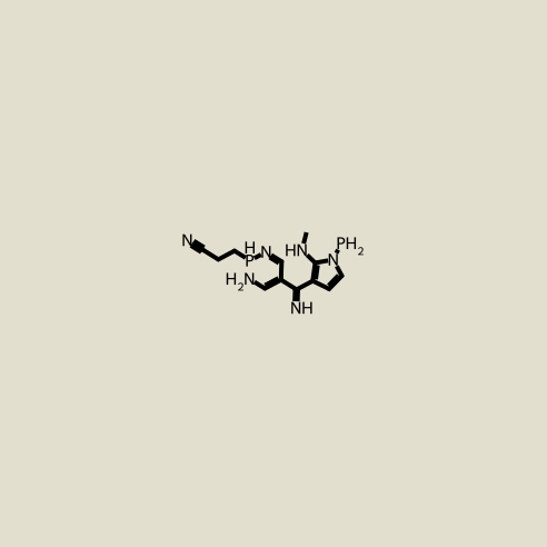 CNc1c(C(=N)C(/C=N\PCCC#N)=C/N)ccn1P